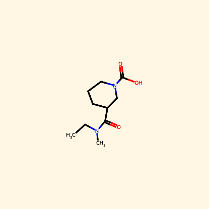 CCN(C)C(=O)C1CCCN(C(=O)O)C1